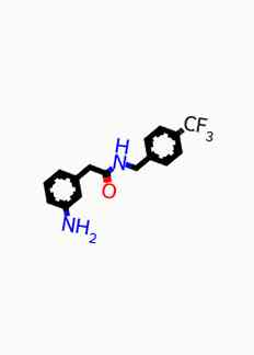 Nc1cccc(CC(=O)NCc2ccc(C(F)(F)F)cc2)c1